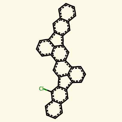 Clc1c2ccccc2cc2c3cccc4c5cc6c7cc8ccccc8cc7c7cccc(c5cc(c12)c43)c76